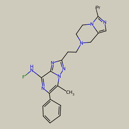 Cc1c(-c2ccccc2)nc(NF)c2nc(CCN3CCn4c(cnc4C(C)C)C3)nn12